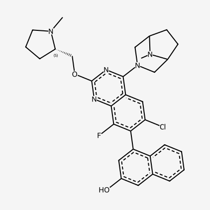 CN1C2CCC1CN(c1nc(OC[C@@H]3CCCN3C)nc3c(F)c(-c4cc(O)cc5ccccc45)c(Cl)cc13)C2